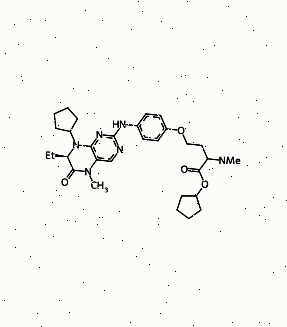 CC[C@@H]1C(=O)N(C)c2cnc(Nc3ccc(OCCC(NC)C(=O)OC4CCCC4)cc3)nc2N1C1CCCC1